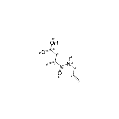 C=CCN(C)C(=O)C(=C)CC(=O)O